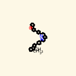 CC1(C)c2ccccc2-c2ccc(-c3ccc(-c4ccc5ccc6ccc(-c7ccc(-c8ccc9oc%10ccccc%10c9c8)cc7)nc6c5n4)cc3)cc21